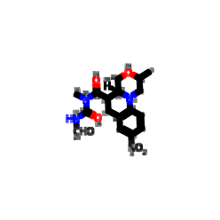 CC1CN2c3ccc([N+](=O)[O-])cc3CC(C(=O)N(C)C(=O)NC=O)[C@@H]2CO1